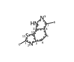 Cc1nc2ccc3c(C)n[nH]c3c2s1